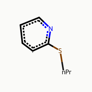 CCCSc1[c]cccn1